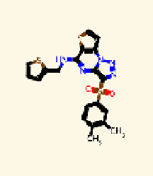 Cc1ccc(S(=O)(=O)c2nnn3c2nc(NCc2cccs2)c2sccc23)cc1C